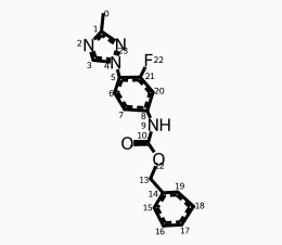 Cc1ncn(-c2ccc(NC(=O)OCc3ccccc3)cc2F)n1